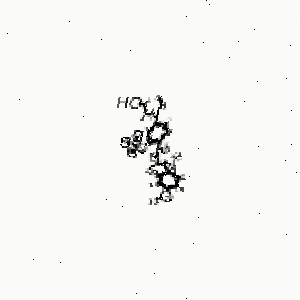 CCN(CCO)c1ccc(/N=N/c2sc3cc(OC)ccc3[n+]2C)c(OS(=O)(=O)[O-])c1